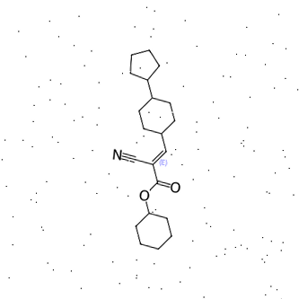 N#C/C(=C\C1CCC(C2CCCC2)CC1)C(=O)OC1CCCCC1